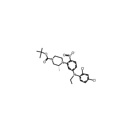 CCN(c1ccc([N+](=O)[O-])c(N2CCN(C(=O)OC(C)(C)C)C[C@H]2C)c1)c1ccc(Cl)cc1Cl